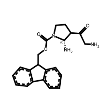 NCC(=O)C1CCN(C(=O)OCC2c3ccccc3-c3ccccc32)[C@H]1N